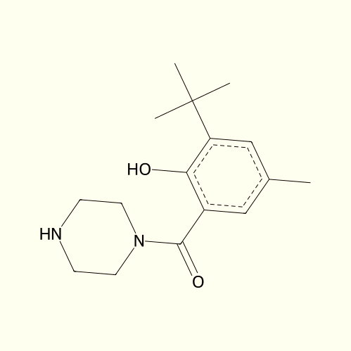 Cc1cc(C(=O)N2CCNCC2)c(O)c(C(C)(C)C)c1